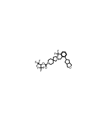 O=C(OC(C(F)(F)F)C(F)(F)F)N1CCC2(CCN(Cc3c(C4CC5COCC5C4)cccc3C(F)(F)F)C2)CC1